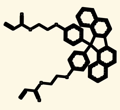 C=CC(=O)OCCOc1ccc(C2(c3ccc(OCCOC(=O)C=C)cc3)c3c(ccc4ccccc34)-c3ccc4ccccc4c32)cc1